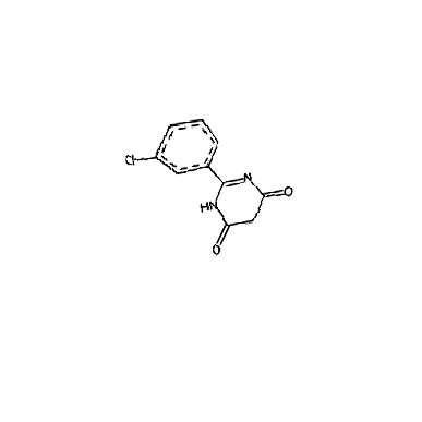 O=C1CC(=O)NC(c2cccc(Cl)c2)=N1